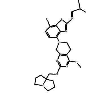 COc1nc(OCC23CCCN2CCC3)nc2c1CCN(c1ccc(F)c3sc(/N=C/N(C)C)nc13)C2